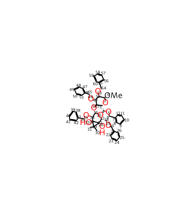 CO[C@@H]1O[C@H](COCc2ccccc2)[C@@H](O[C@@H]2O[C@H](COCc3ccccc3)[C@@]3(O)C(C)(C)[C@@]3(O)[C@H]2OCc2ccccc2)[C@H](OCc2ccccc2)[C@H]1OCc1ccccc1